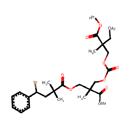 CCCOC(=O)C(C)(COC(C)=O)COC(=O)OCC(C)(COC(=O)C(C)(C)CC(Br)c1ccccc1)C(=O)OC